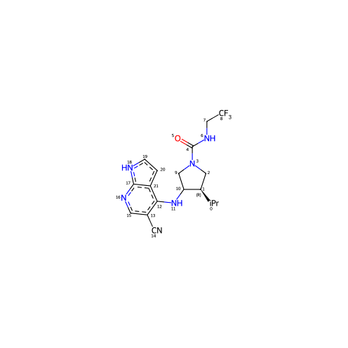 CC(C)[C@@H]1CN(C(=O)NCC(F)(F)F)CC1Nc1c(C#N)cnc2[nH]ccc12